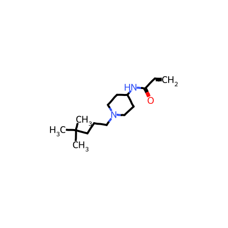 C=CC(=O)NC1CCN(CCCC(C)(C)C)CC1